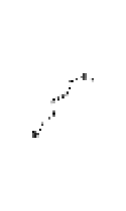 N[CH]C=CCCBr